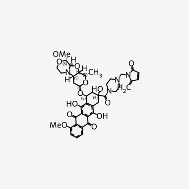 C=C1C=CC(=O)N1CN1CCN(C(=O)[C@]2(O)Cc3c(O)c4c(c(O)c3[C@@H](O[C@H]3C[C@H]5[C@H](O[C@@H]6[C@@H](OC)OCCN65)[C@H](C)O3)C2)C(=O)c2c(OC)cccc2C4=O)CC1